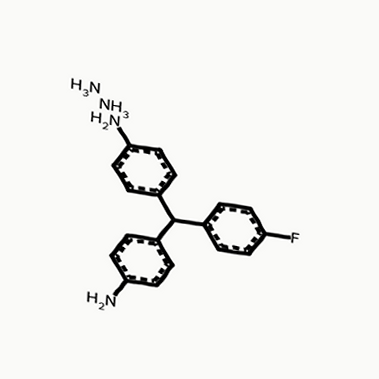 N.N.Nc1ccc(C(c2ccc(N)cc2)c2ccc(F)cc2)cc1